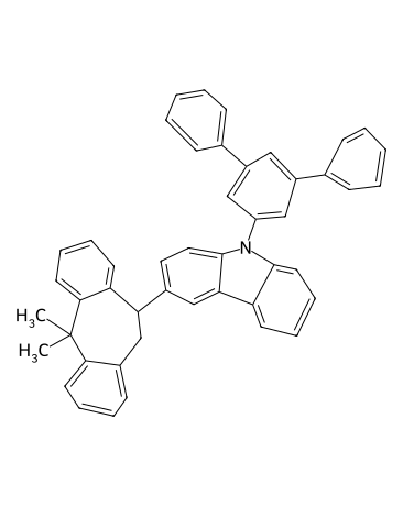 CC1(C)c2ccccc2CC(c2ccc3c(c2)c2ccccc2n3-c2cc(-c3ccccc3)cc(-c3ccccc3)c2)c2ccccc21